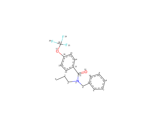 CCCN(Cc1ccccc1)C(=O)c1ccc(OC(F)(F)F)cc1